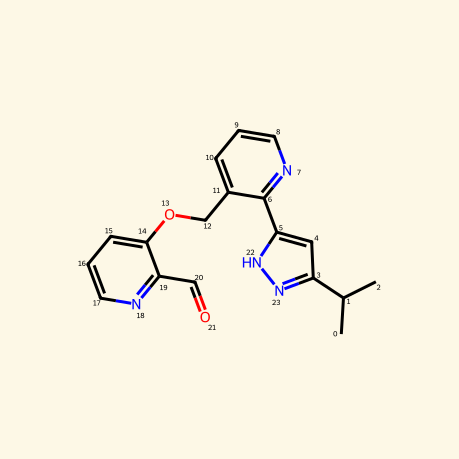 CC(C)c1cc(-c2ncccc2COc2cccnc2C=O)[nH]n1